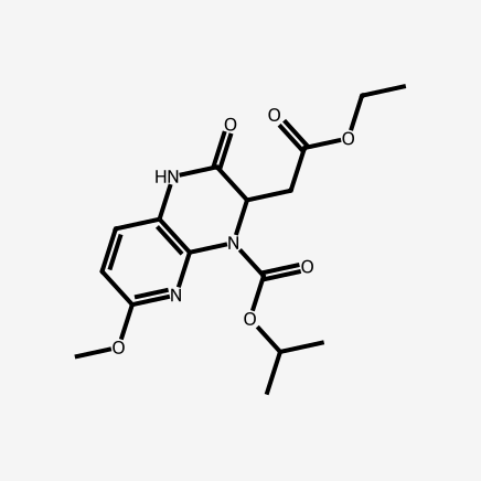 CCOC(=O)CC1C(=O)Nc2ccc(OC)nc2N1C(=O)OC(C)C